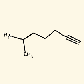 [C]#CCCCC(C)C